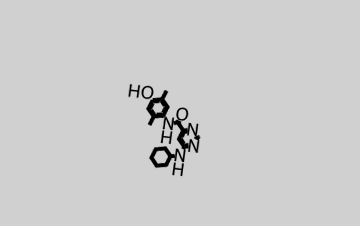 Cc1cc(NC(=O)c2cc(NC3CCCCC3)ncn2)c(C)cc1O